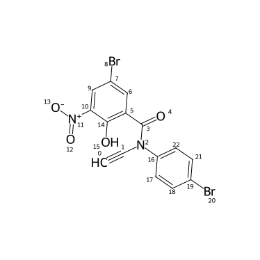 C#CN(C(=O)c1cc(Br)cc([N+](=O)[O-])c1O)c1ccc(Br)cc1